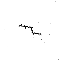 CCSC/C=C(\C)CCCC(C)CCCC(C)CCCC(C)C